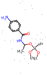 CCC[Si](OCC)(OCC)OC(C)NC(=O)c1ccc(N)cc1